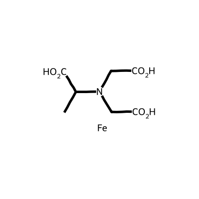 CC(C(=O)O)N(CC(=O)O)CC(=O)O.[Fe]